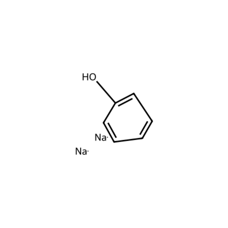 Oc1ccccc1.[Na].[Na]